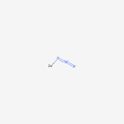 [N-]=[N+]=[N][Lu]